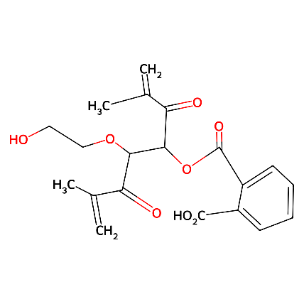 C=C(C)C(=O)C(OCCO)C(OC(=O)c1ccccc1C(=O)O)C(=O)C(=C)C